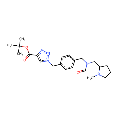 CN1CCCC1CN(C=O)Cc1ccc(Cn2cc(C(=O)OC(C)(C)C)nn2)cc1